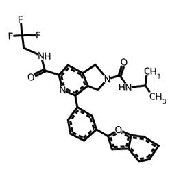 CC(C)NC(=O)N1Cc2cc(C(=O)NCC(F)(F)F)nc(-c3cccc(-c4cc5ccccc5o4)c3)c2C1